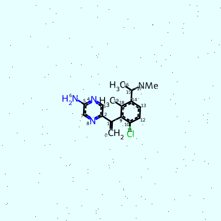 C=C(c1cnc(N)cn1)c1c(Cl)ccc(C(C)NC)c1C